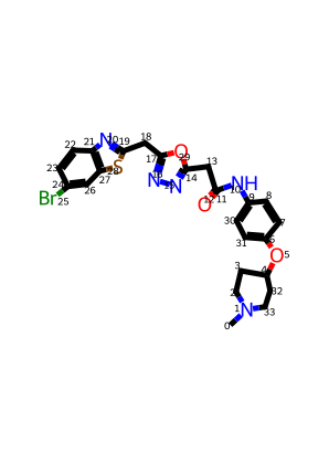 CN1CCC(Oc2ccc(NC(=O)Cc3nnc(Cc4nc5ccc(Br)cc5s4)o3)cc2)CC1